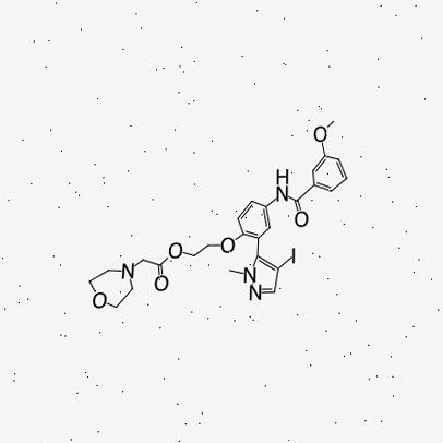 COc1cccc(C(=O)Nc2ccc(OCCOC(=O)CN3CCOCC3)c(-c3c(I)cnn3C)c2)c1